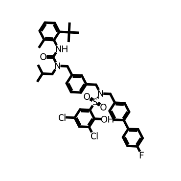 Cc1cccc(C(C)(C)C)c1NC(=O)N(Cc1cccc(CN(Cc2ccc(-c3ccc(F)cc3)cc2)S(=O)(=O)c2cc(Cl)cc(Cl)c2O)c1)CC(C)C